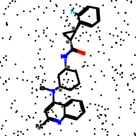 CCN(c1cc(C(F)(F)F)nc2ccccc12)[C@H]1CCC[C@@H](NC(=O)[C@@H]2C[C@H]2c2ccccc2F)C1